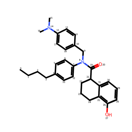 CCCCc1ccc(N(Cc2ccc(N(C)C)cc2)C(=O)C2CCCc3c(O)cccc32)cc1